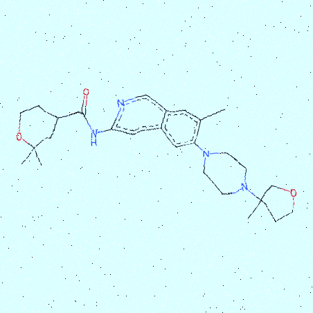 Cc1cc2cnc(NC(=O)C3CCOC(C)(C)C3)cc2cc1N1CCN(C2(C)CCOC2)CC1